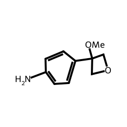 COC1(c2ccc(N)cc2)COC1